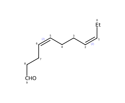 CC/C=C\CC/C=C\CCC=O